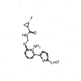 Nn1c(-c2ccc(C=O)s2)ccc/c1=N/CNC(=O)[C@H]1C[C@@H]1F